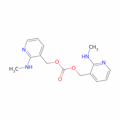 CNc1ncccc1COC(=O)OCc1cccnc1NC